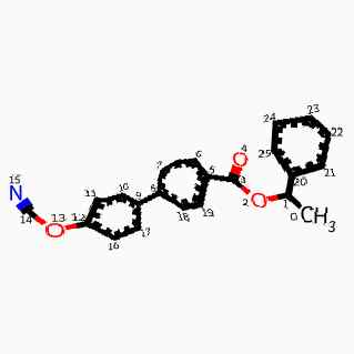 CC(OC(=O)c1ccc(-c2ccc(OC#N)cc2)cc1)c1ccccc1